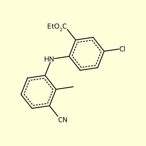 CCOC(=O)c1cc(Cl)ccc1Nc1cccc(C#N)c1C